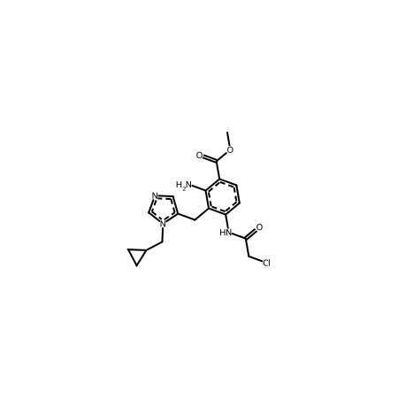 COC(=O)c1ccc(NC(=O)CCl)c(Cc2cncn2CC2CC2)c1N